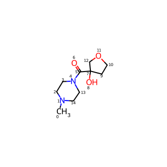 CN1CCN(C(=O)C2(O)CCOC2)CC1